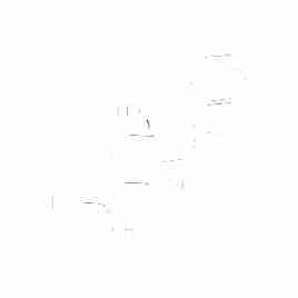 C=C(C)[C@@H]1CC[C@]2(C)O[P@](=S)(c3ccccc3)S[C@H]2C1